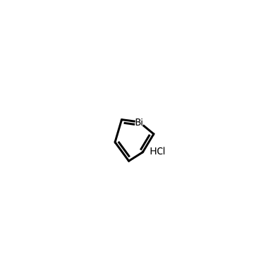 C1=C[CH]=[Bi][CH]=C1.Cl